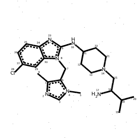 Cc1ncn(C)c1Cn1c(NC2CCN(CC(N)C(C)C)CC2)nc2ccc(Cl)cc21